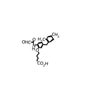 Cc1ccc(Cc2ccc(NC(=O)C=O)c(OCCCCC(=O)O)c2)c(C)c1